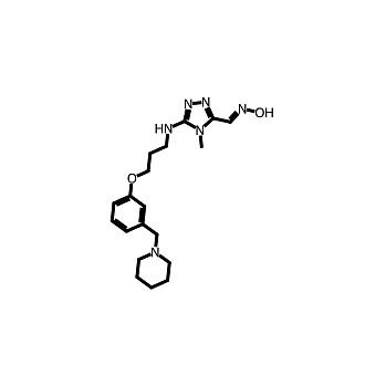 Cn1c(/C=N/O)nnc1NCCCOc1cccc(CN2CCCCC2)c1